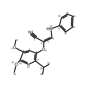 COc1cc(O/C(C#N)=C/Nc2ccccc2)c(C(C)C)nc1OC